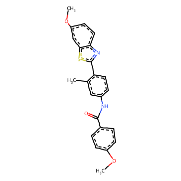 COc1ccc(C(=O)Nc2ccc(-c3nc4ccc(OC)cc4s3)c(C)c2)cc1